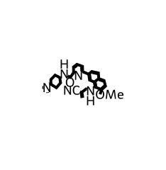 C=C(C#N)CNc1c(OC)ccc2ccc(-c3cccc(C(=O)N[C@H]4CC[C@H](N(C)C)CC4)n3)cc12